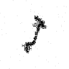 Cc1ncsc1-c1ccc(CNC(=O)[C@H]2C[C@H](O)CN2C(=O)[C@H](NC(=O)COCCCOCCCCOCCCOc2ccc(Nc3ncc(I)c(NCCN(C)C(=O)C4CCC4)n3)cc2)C(C)(C)C)cc1